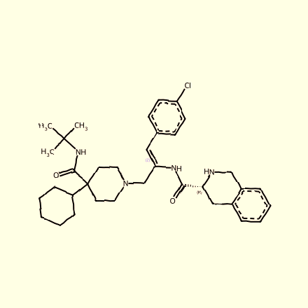 CC(C)(C)NC(=O)C1(C2CCCCC2)CCN(C/C(=C/c2ccc(Cl)cc2)NC(=O)[C@H]2Cc3ccccc3CN2)CC1